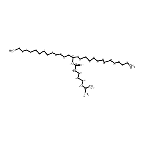 CCCCCCCCCCCCCCC(CCCCCCCCCCCCCC)OC(=O)NCCCOC(C)C